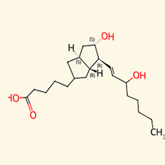 CCCCCC(O)C=C[C@H]1[C@@H]2CC(CCCCC(=O)O)C[C@H]2C[C@@H]1O